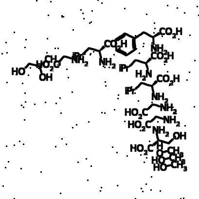 CC(C)C[C@H](N)C(=O)O.CC(C)C[C@H](N)C(=O)O.CC(C)C[C@H](N)C(=O)O.CC(O)CO.CO.CO.CO.NCC(=O)O.NCC(=O)O.NCC(=O)O.N[C@@H](CO)C(=O)O.N[C@@H](Cc1ccccc1)C(=O)O